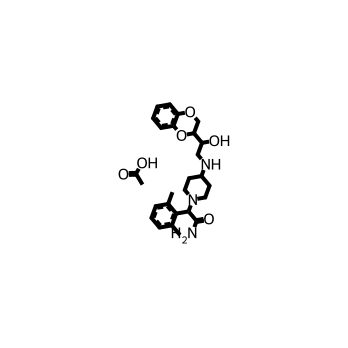 CC(=O)O.Cc1cccc(C)c1C(C(N)=O)N1CCC(NCC(O)C2COc3ccccc3O2)CC1